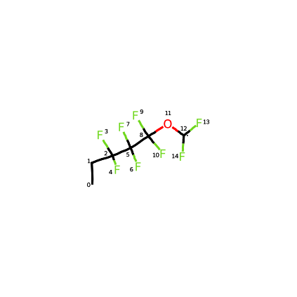 CCC(F)(F)C(F)(F)C(F)(F)O[C](F)F